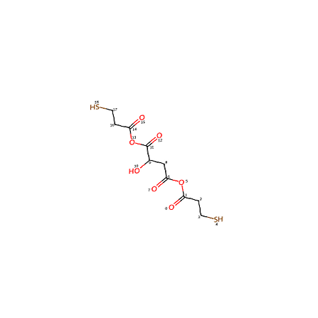 O=C(CCS)OC(=O)CC(O)C(=O)OC(=O)CCS